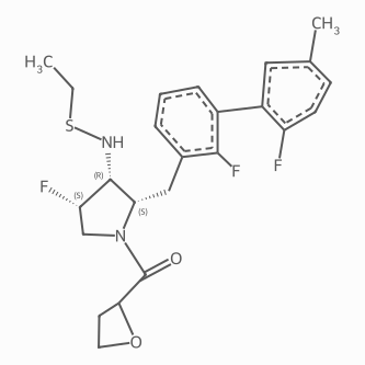 CCSN[C@H]1[C@@H](F)CN(C(=O)C2CCO2)[C@H]1Cc1cccc(-c2cc(C)ccc2F)c1F